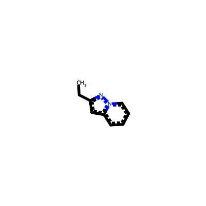 CCc1[c]c2ccccn2n1